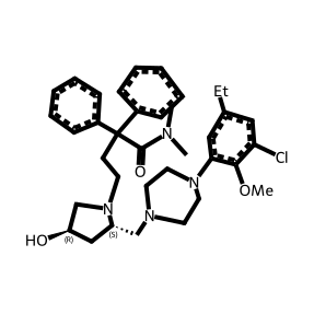 CCc1cc(Cl)c(OC)c(N2CCN(C[C@@H]3C[C@@H](O)CN3CCC(C(=O)N(C)C)(c3ccccc3)c3ccccc3)CC2)c1